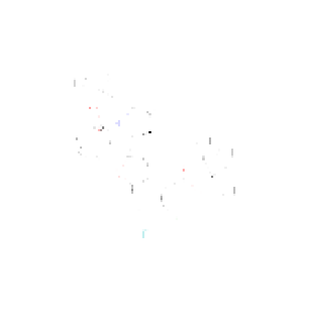 CC(C)(C)OC(=O)N1CC(O)C[C@H]1[C@@]1(c2ccccc2)Cc2c(cc(F)c(Cl)c2B2OC(C)(C)C(C)(C)O2)O1